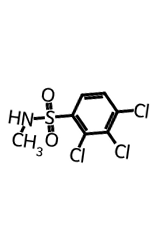 CNS(=O)(=O)c1ccc(Cl)c(Cl)c1Cl